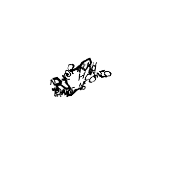 CCn1c(-c2cccnc2[C@H](C)OC)c2c3cc(ccc31)-c1csc(n1)C[C@H](NC(=O)N1CCOCC1)C(=O)N1CCC[C@H](N1)C(=O)OCC(C)(C)C2